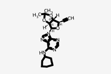 C#C[C@H]1O[C@@H](n2cnc3c(NC4CCCCC4)ncnc32)[C@H]2OC(C)(C)O[C@@H]21